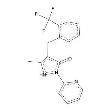 Cc1[nH]n(-c2ccccn2)c(=O)c1Cc1ccccc1C(F)(F)F